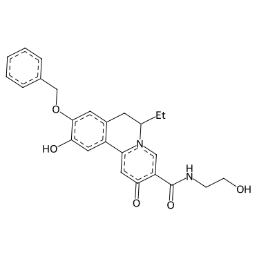 CCC1Cc2cc(OCc3ccccc3)c(O)cc2-c2cc(=O)c(C(=O)NCCO)cn21